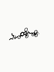 CCCN(CCC)CCOc1ccc2c(c1)C(=O)N(CCCO[N+](=O)[O-])C2=O